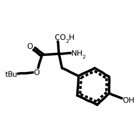 CC(C)(C)OC(=O)C(N)(Cc1ccc(O)cc1)C(=O)O